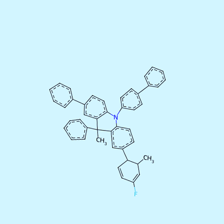 CC1C=C(F)C=CC1c1ccc2c(c1)C(C)(c1ccccc1)c1cc(-c3ccccc3)ccc1N2c1ccc(-c2ccccc2)cc1